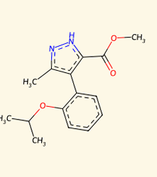 COC(=O)c1[nH]nc(C)c1-c1ccccc1OC(C)C